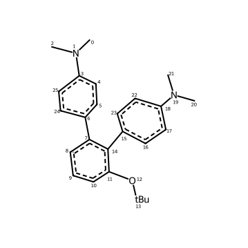 CN(C)c1ccc(-c2[c]ccc(OC(C)(C)C)c2-c2ccc(N(C)C)cc2)cc1